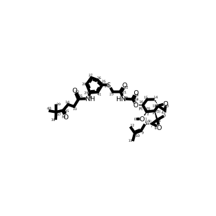 CO[C@H]1[C@H](C2(C)O[C@@H]2CC=C(C)C)[C@]2(CC[C@H]1OC(=O)NC(=O)CSc1cccc(NC(=O)CCC(=O)C(C)(C)C)c1)CO2